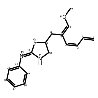 C=C/C=C\C(=C\OC)CC1CN/C(=N\c2ccccc2)S1